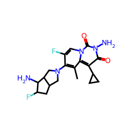 Cc1c(N2CC3CC(F)C(N)C3C2)c(F)cn2c(=O)n(N)c(=O)c(C3CC3)c12